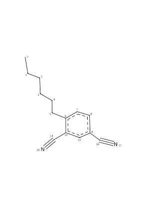 CCCCCCc1ccc(C#N)cc1C#N